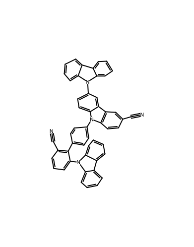 N#Cc1ccc2c(c1)c1cc(-n3c4ccccc4c4ccccc43)ccc1n2-c1ccc(-c2c(C#N)cccc2-n2c3ccccc3c3ccccc32)cc1